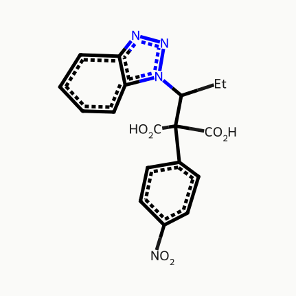 CCC(n1nnc2ccccc21)C(C(=O)O)(C(=O)O)c1ccc([N+](=O)[O-])cc1